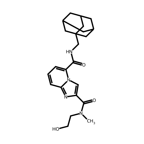 CN(CCO)C(=O)c1cn2c(C(=O)NCC34CC5CC(CC(C5)C3)C4)cccc2n1